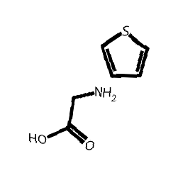 NCC(=O)O.c1ccsc1